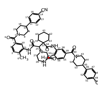 Cc1ccc(C(=O)N2CCC(c3ccc(C#N)cc3)CC2)cc1NC(=O)C(N1CCNC(=O)C1)C1(C(=O)Nc2cc(C(=O)N3CCC(c4ccc(C#N)cc4)CC3)ccc2C)CCCCC1